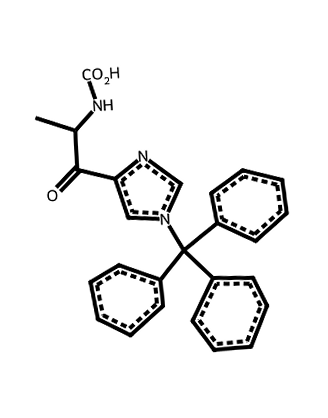 CC(NC(=O)O)C(=O)c1cn(C(c2ccccc2)(c2ccccc2)c2ccccc2)cn1